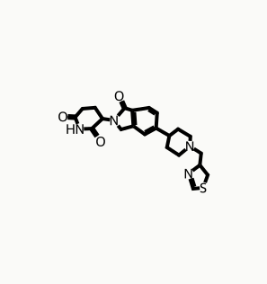 O=C1CCC(N2Cc3cc(C4CCN(CC5CSC=N5)CC4)ccc3C2=O)C(=O)N1